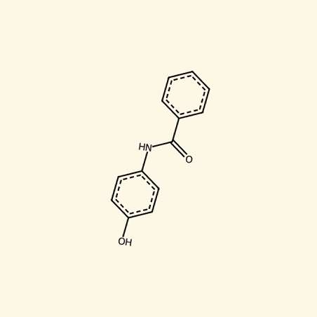 O=C(Nc1ccc(O)cc1)c1ccccc1